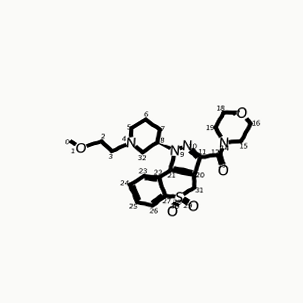 COCCN1CCC[C@@H](n2nc(C(=O)N3CCOCC3)c3c2-c2ccccc2S(=O)(=O)C3)C1